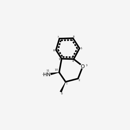 C[C@@H]1COc2ccccc2[C@@H]1[NH]